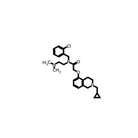 CN(C)CCN(Cc1ccccc1Cl)C(=O)COc1cccc2c1CCN(CC1CC1)C2